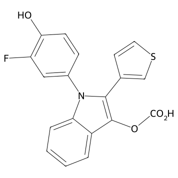 O=C(O)Oc1c(-c2ccsc2)n(-c2ccc(O)c(F)c2)c2ccccc12